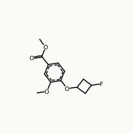 COC(=O)c1ccc(OC2CC(F)C2)c(OC)c1